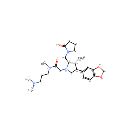 CCCCN(CCCN(C)C)C(=O)CN1C[C@H](c2ccc3c(c2)OCO3)[C@@H](C(=O)O)[C@@H]1CN1CCCC1=O